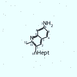 CCCCCCCc1cc2ccc(N)cc2nc1C